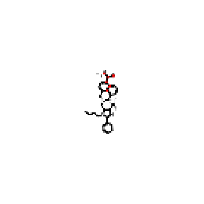 CCCCn1c(-c2ccccc2)nc(C(F)(F)F)c1CN(Cc1ccc(C(N)=O)cc1)Cc1cccc(OC(F)F)c1